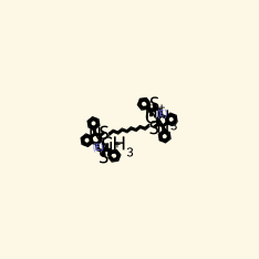 C[n+]1c(/C=C2\C=C(SCCCCCCCCCCSC3C/C(=C\c4sc5ccccc5[n+]4C)c4ccccc4N3c3ccccc3)N(c3ccccc3)c3ccccc32)sc2ccccc21